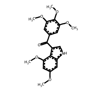 COc1cc(OC)c2c(C(=O)c3cc(OC)c(OC)c(OC)c3)c[nH]c2c1